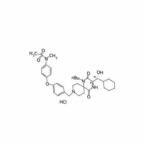 CCCCN1C(=O)[C@@H]([C@H](O)C2CCCCC2)NC(=O)C12CCN(Cc1ccc(Oc3ccc(N(C)S(C)(=O)=O)cc3)cc1)CC2.Cl